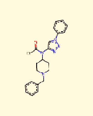 CCC(=O)N(c1cn(-c2ccccc2)nn1)C1CCN(Cc2ccccc2)CC1